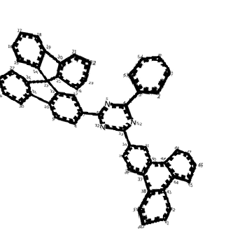 c1ccc(-c2nc(-c3ccc4c(c3)C3(c5ccccc5-c5ccccc53)c3ccccc3-4)nc(-c3ccc4c5ccccc5c5ccccc5c4c3)n2)cc1